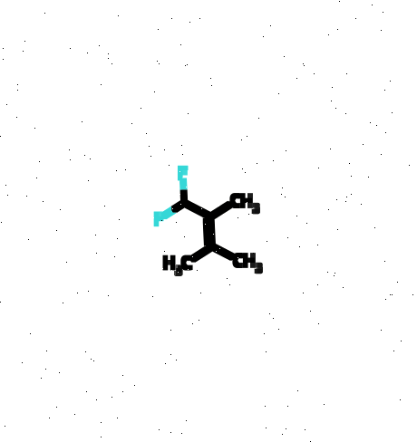 CC(C)=C(C)C(F)F